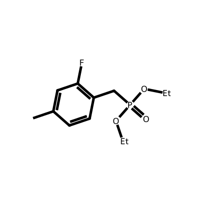 CCOP(=O)(Cc1ccc(C)cc1F)OCC